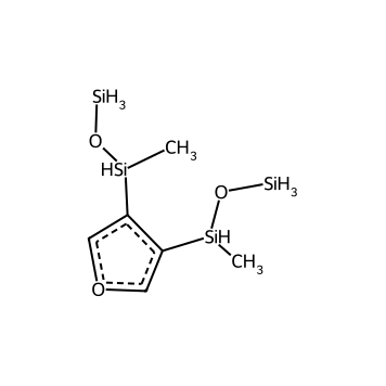 C[SiH](O[SiH3])c1cocc1[SiH](C)O[SiH3]